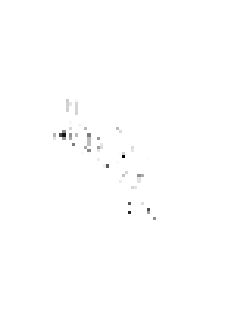 Cc1c(-c2cc(F)c(N)cc2F)ccc2c3oc(CS(=O)(=O)CCN)nc3c(=O)n(C3CC3)c12